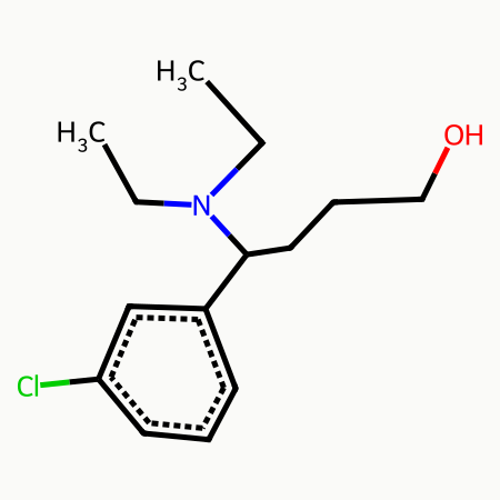 CCN(CC)C(CCCO)c1cccc(Cl)c1